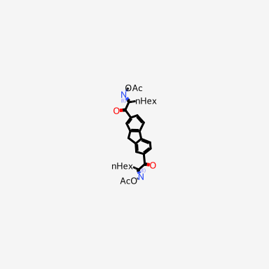 CCCCCC/C(=N\OC(C)=O)C(=O)c1ccc2c(c1)Cc1cc(C(=O)/C(CCCCCC)=N/OC(C)=O)ccc1-2